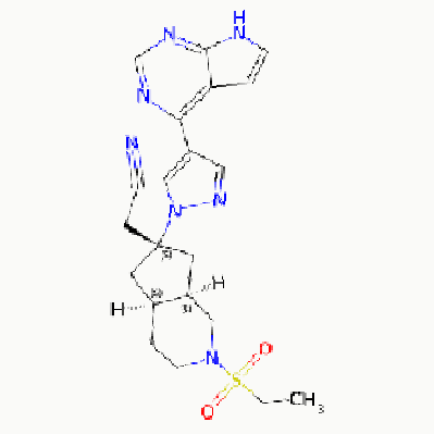 CCS(=O)(=O)N1CC[C@H]2C[C@](CC#N)(n3cc(-c4ncnc5[nH]ccc45)cn3)C[C@H]2C1